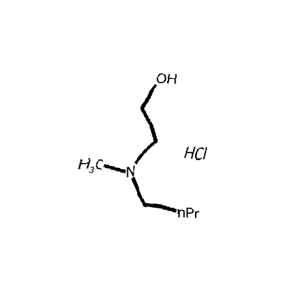 CCCCN(C)CCO.Cl